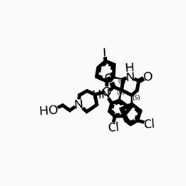 O=C1C[C@@H](c2cccc(Cl)c2)[C@]2(C(=O)Nc3cc(Cl)ccc32)[C@@H](c2cc(I)ccc2OC2CCN(CCO)CC2)N1